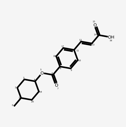 CC1CCC(OC(=O)c2ccc(C=CC(=O)O)cc2)CC1